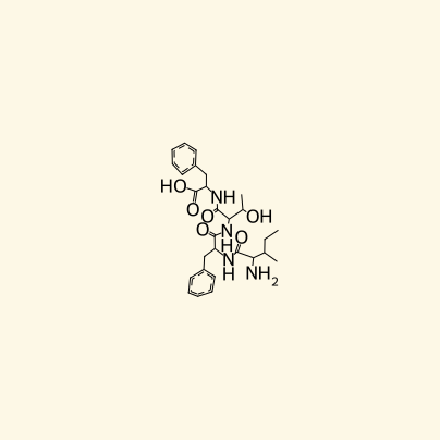 CCC(C)C(N)C(=O)NC(Cc1ccccc1)C(=O)NC(C(=O)NC(Cc1ccccc1)C(=O)O)C(C)O